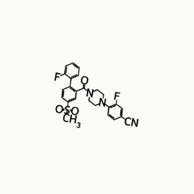 CS(=O)(=O)c1ccc(-c2ccccc2F)c(C(=O)N2CCN(c3ccc(C#N)cc3F)CC2)c1